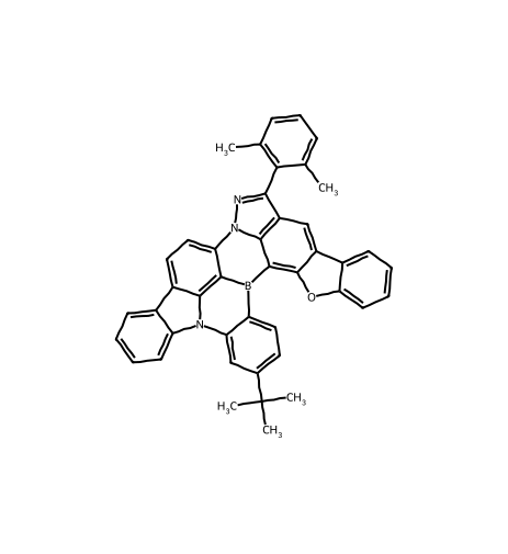 Cc1cccc(C)c1-c1nn2c3c(c4oc5ccccc5c4cc13)B1c3ccc(C(C)(C)C)cc3-n3c4ccccc4c4ccc-2c1c43